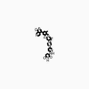 COc1cc(-c2cn(C)c(=O)c3cnccc23)cc(C)c1CN1CCC(N2CCN(c3ccc(NC4CCC(=O)NC4=O)nc3)CC2)C(F)(F)C1